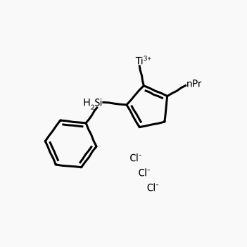 CCCC1=[C]([Ti+3])C([SiH2]c2ccccc2)=CC1.[Cl-].[Cl-].[Cl-]